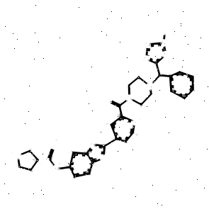 Cn1nnc(C(c2ccccc2)N2CCN(C(=O)c3cc(-c4nc5cc(NC(=O)[C@@H]6CCOC6)ccc5o4)ccn3)CC2)n1